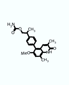 COc1cc(C)c2[nH]c(=O)c(C)cc2c1-c1ccc(C(C)COC(N)=O)cc1